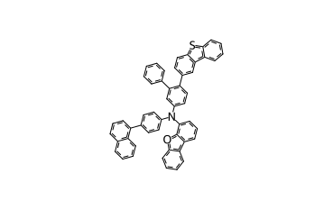 c1ccc(-c2cc(N(c3ccc(-c4cccc5ccccc45)cc3)c3cccc4c3oc3ccccc34)ccc2-c2ccc3sc4ccccc4c3c2)cc1